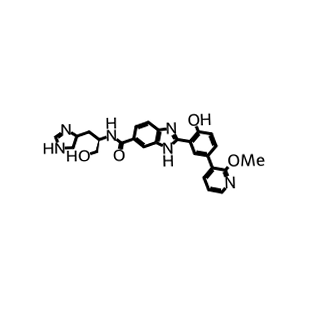 COc1ncccc1-c1ccc(O)c(-c2nc3ccc(C(=O)N[C@@H](CO)CC4CNC=N4)cc3[nH]2)c1